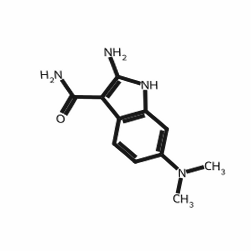 CN(C)c1ccc2c(C(N)=O)c(N)[nH]c2c1